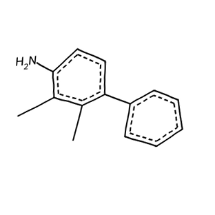 Cc1c(N)ccc(-c2ccccc2)c1C